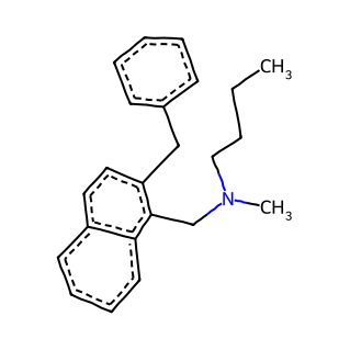 CCCCN(C)Cc1c(Cc2ccccc2)ccc2ccccc12